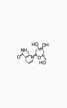 NC(=O)C1=CN([C@H]2C[C@@H](O)[C@@H](O)C[C@@H](CO)O2)C=CC1